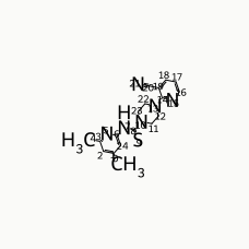 Cc1cc(C)nc(NC(=S)N2CCN(c3ncccc3C#N)CC2)c1